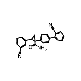 N#Cc1cccc(C2CC2(C(N)=O)c2ccc(-c3ccccc3C#N)cc2)c1